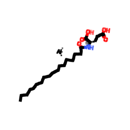 CCCCCCCCCCCCCCCCCC(=O)N[C@@H](CCC(=O)O)C(=O)O.[Al]